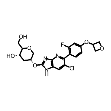 OCC1OC[C@H](Oc2nc3nc(-c4ccc(OC5COC5)cc4F)c(Cl)cc3[nH]2)C[C@@H]1O